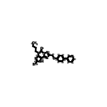 CCCCn1c(=O)n2nc(COc3ccc(-c4cccnc4)cc3)nc2c2[nH]c(Br)nc21